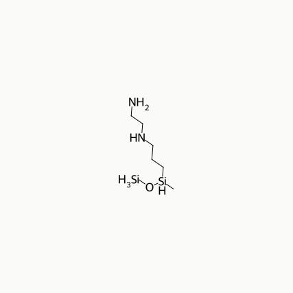 C[SiH](CCCNCCN)O[SiH3]